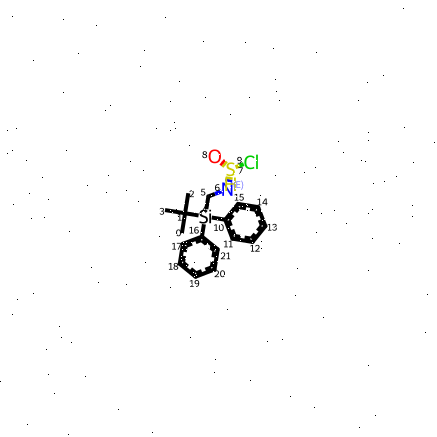 CC(C)(C)[Si](C/N=[SH](=O)/Cl)(c1ccccc1)c1ccccc1